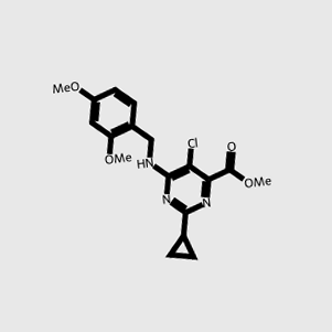 COC(=O)c1nc(C2CC2)nc(NCc2ccc(OC)cc2OC)c1Cl